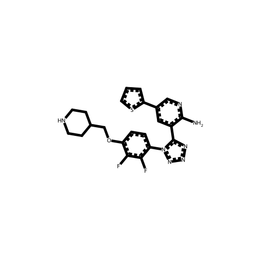 Nc1ncc(-c2cccs2)cc1-c1nnnn1-c1ccc(OCC2CCNCC2)c(F)c1F